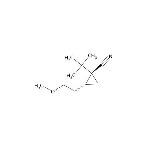 COCC[C@H]1C[C@@]1(C#N)C(C)(C)C